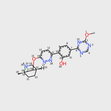 COc1ncnc(-c2ccc(-c3ccc(OC4C(F)[C@]5(C)CC[C@H]4CN5C)nn3)c(O)c2)n1